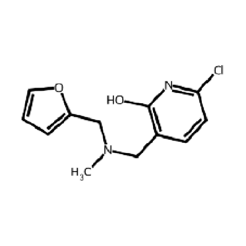 CN(Cc1ccco1)Cc1ccc(Cl)nc1O